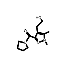 Cc1c(CCO)c(C(=O)N2CCCC2)nn1C